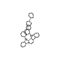 C[C@@]12C=Cc3c(n(-c4cccc(-c5ccc(-c6ccccc6)cc5)c4)c4ccccc34)C1N(c1cccc(-c3ccccc3)c1)c1ccccc12